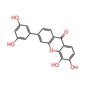 O=c1c2ccc(-c3cc(O)cc(O)c3)cc2oc2c(O)c(O)ccc12